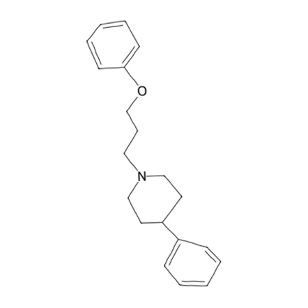 c1ccc(OCCCN2CCC(c3ccccc3)CC2)cc1